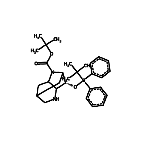 CC(C)(C)OC(=O)N1C2CC3CNC2[C@@H](O[Si](c2ccccc2)(c2ccccc2)C(C)(C)C)C1C3